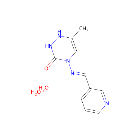 CC1=CN(N=Cc2cccnc2)C(=O)NN1.O.O